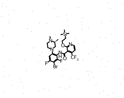 C[C@H]1CN(c2cc(F)c(Br)c(F)c2NC(=O)c2c(C(F)(F)F)ccnc2OCC[Si](C)(C)C)CCN1C